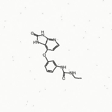 CCNC(=O)Nc1cccc(Oc2ccnc3[nH]c(=O)[nH]c23)c1